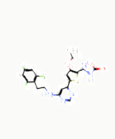 CCOc1cc(-c2cc(NCCc3c(F)cc(F)cc3F)ncn2)sc1-c1noc(=O)[nH]1